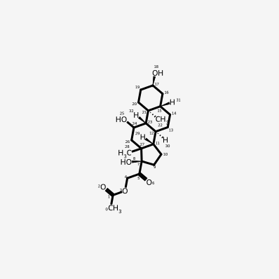 CC(=O)OCC(=O)[C@@]1(O)CC[C@H]2[C@@H]3CC[C@H]4C[C@H](O)CC[C@]4(C)[C@H]3C(O)CC21C